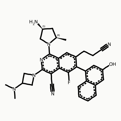 C[C@@H]1C[C@H](N)CN1c1nc(N2CC(N(C)C)C2)c(C#N)c2c(F)c(-c3cc(O)cc4ccccc34)c(CCC#N)cc12